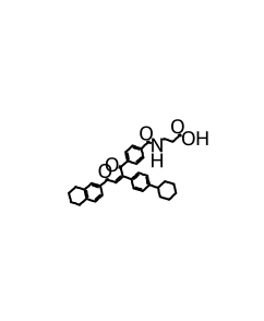 O=C(O)CCNC(=O)c1ccc(C(=O)C(=CC(=O)c2ccc3c(c2)CCCC3)c2ccc(C3CCCCC3)cc2)cc1